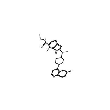 CCOC(=O)c1ccc2nc([C@H](C)C3CCC(c4ccnc5ccc(F)cc45)CC3)[nH]c2c1C